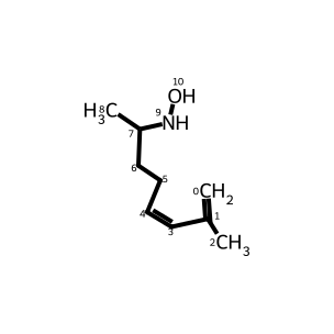 C=C(C)/C=C\CCC(C)NO